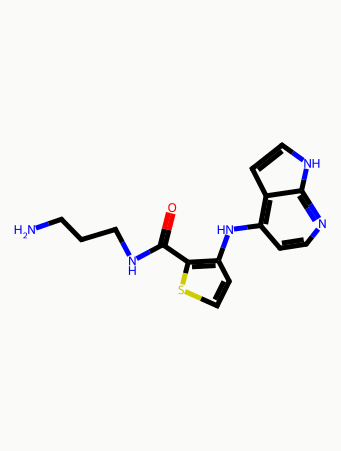 NCCCNC(=O)c1sccc1Nc1ccnc2[nH]ccc12